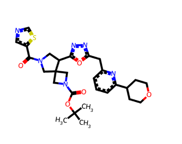 CC(C)(C)OC(=O)N1CC2(C1)CN(C(=O)c1cncs1)CC2c1nnc(Cc2cccc(C3CCOCC3)n2)o1